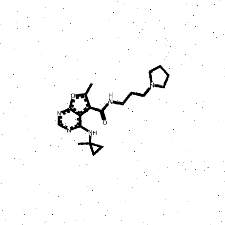 Cc1oc2ncnc(NC3(C)CC3)c2c1C(=O)NCCCN1CCCC1